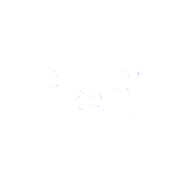 Cc1nonc1C(=O)N[C@H](c1cn2nc(C[C@H]3CCCNC3=O)ccc2n1)C1CCC(F)(F)CC1